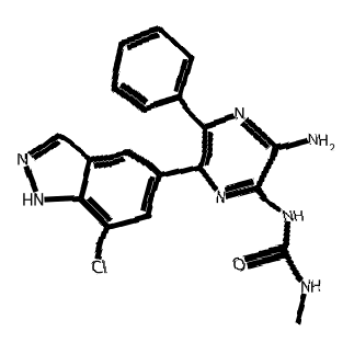 CNC(=O)Nc1nc(-c2cc(Cl)c3[nH]ncc3c2)c(-c2ccccc2)nc1N